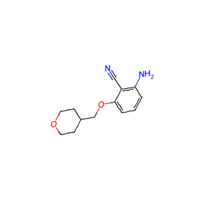 N#Cc1c(N)cccc1OCC1CCOCC1